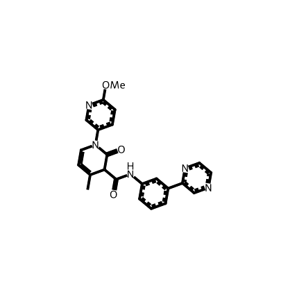 COc1ccc(N2C=C=C(C)C(C(=O)Nc3cccc(-c4cnccn4)c3)C2=O)cn1